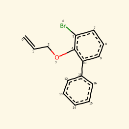 C=CCOc1c(Br)cccc1-c1ccccc1